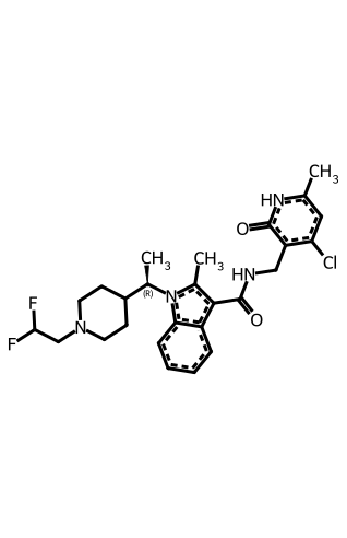 Cc1cc(Cl)c(CNC(=O)c2c(C)n([C@H](C)C3CCN(CC(F)F)CC3)c3ccccc23)c(=O)[nH]1